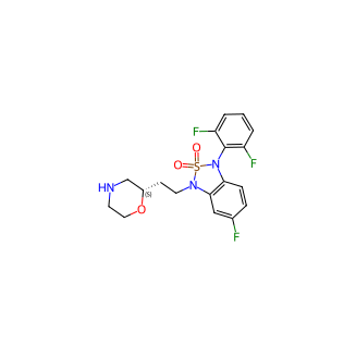 O=S1(=O)N(CC[C@H]2CNCCO2)c2cc(F)ccc2N1c1c(F)cccc1F